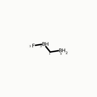 BCBF